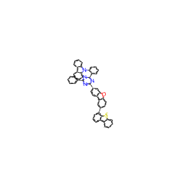 c1ccc(-c2nc(-c3ccc4c(c3)oc3ccc(-c5cccc6c5sc5ccccc56)cc34)nc(-c3ccccc3-n3c4ccccc4c4ccccc43)n2)cc1